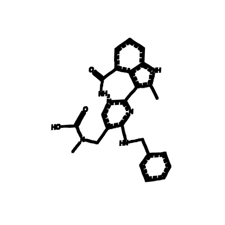 Cc1[nH]c2cccc(C(N)=O)c2c1-c1ncc(CN(C)C(=O)O)c(NCc2ccccc2)n1